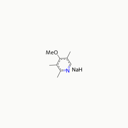 COc1c(C)cnc(C)c1C.[NaH]